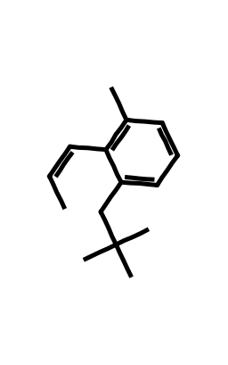 C/C=C\c1c(C)cccc1CC(C)(C)C